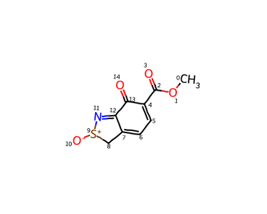 COC(=O)C1=CC=C2C[S+]([O-])N=C2C1=O